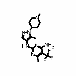 Cc1nc(Nc2cnn(C3CCN(C)CC3)c2C)nc(N)c1C(F)(F)F